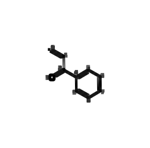 [CH]=CC(=O)c1ccccc1